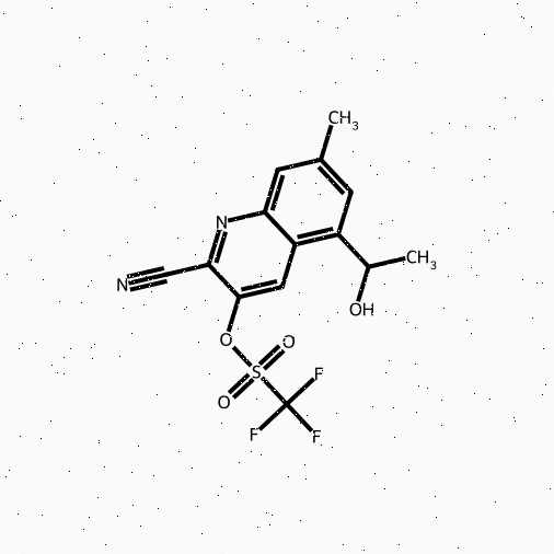 Cc1cc(C(C)O)c2cc(OS(=O)(=O)C(F)(F)F)c(C#N)nc2c1